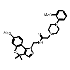 COc1ccc2c(c1)OC(C)(C)c1cnn(CNC(=O)CN3CCN(c4ccccc4OC)CC3)c1-2